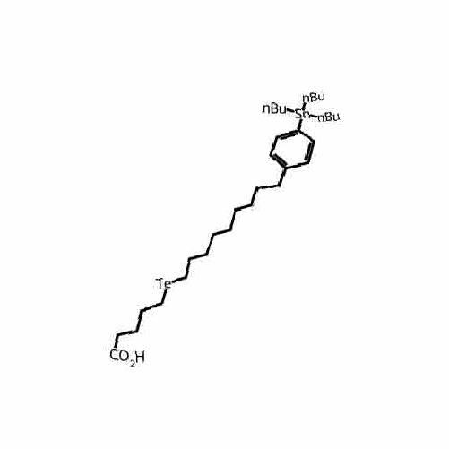 CCC[CH2][Sn]([CH2]CCC)([CH2]CCC)[c]1ccc(CCCCCCCCC[Te]CCCCC(=O)O)cc1